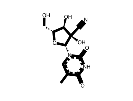 Cc1cn([C@@H]2O[C@H](CO)[C@@H](O)[C@]2(O)C#N)c(=O)[nH]c1=O